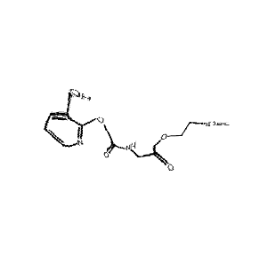 CCCCCCCCCCCCOC(=O)CNC(=O)Oc1ncccc1O